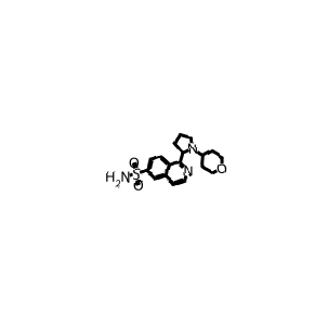 NS(=O)(=O)c1ccc2c(C3CCCN3C3CCOCC3)nccc2c1